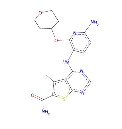 Cc1c(C(N)=O)sc2ncnc(Nc3ccc(N)nc3OC3CCOCC3)c12